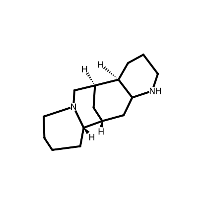 C1CNC2C[C@H]3C[C@@H](CN4CCCC[C@@H]34)[C@H]2C1